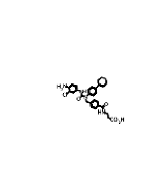 Nc1ccc(NC(=O)N(Cc2ccc(C(=O)NCCC(=O)O)cc2)c2ccc(C3=CCCCC3)cc2)cc1Cl